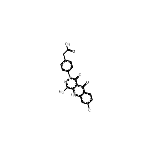 O=C(O)Cc1ccc(-n2nc(O)c3[nH]c4cc(Cl)ccc4c(=O)c3c2=O)cc1